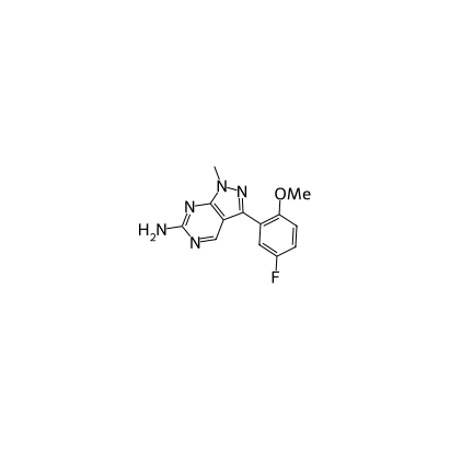 COc1ccc(F)cc1-c1nn(C)c2nc(N)ncc12